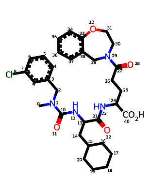 CN(Cc1cccc(Cl)c1)C(=O)NC(CC1CCCCC1)C(=O)NC(CCC(=O)N1CCOc2ccccc2C1)C(=O)O